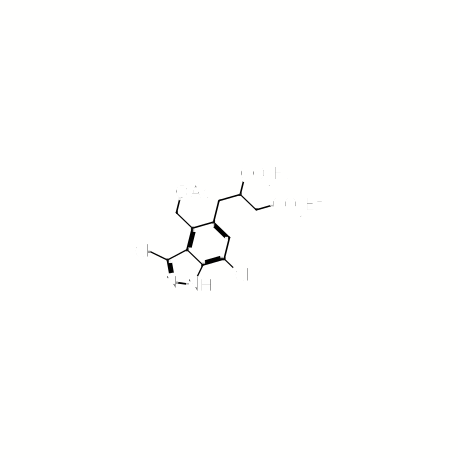 CCOC(=O)CC(Cc1cc(Cl)c2[nH]nc(Cl)c2c1COC(C)=O)C(=O)OCC